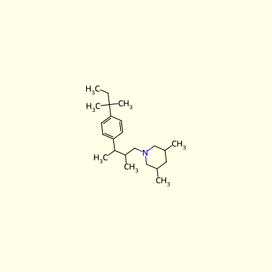 CCC(C)(C)c1ccc(C(C)C(C)CN2CC(C)CC(C)C2)cc1